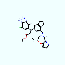 CCOC(=O)CC(c1cc2c(c(CN3C[C@@H](CC)Oc4cccnc4[C@@H]3C)c1)CCC2)c1cc(Cl)c2c(nnn2C)c1C